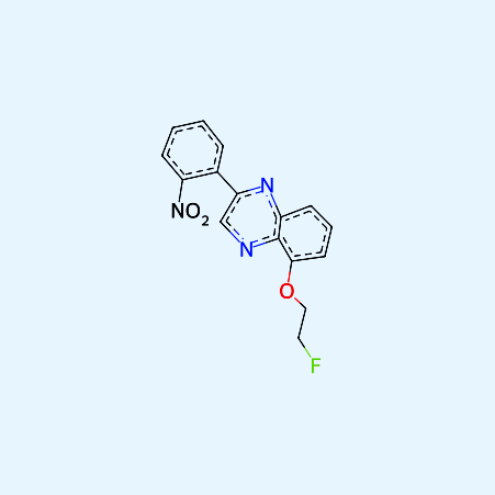 O=[N+]([O-])c1ccccc1-c1cnc2c(OCCF)cccc2n1